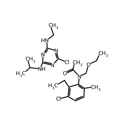 CCNc1nc(Cl)nc(NC(C)C)n1.CCOCN(C(C)=O)c1c(C)ccc(Cl)c1CC